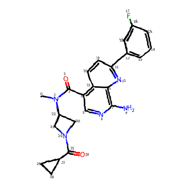 CN(C(=O)c1cnc(N)c2nc(-c3cccc(F)c3)ccc12)C1CN(C(=O)C2CC2)C1